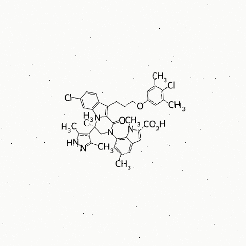 Cc1cc(N2C[C@@](C)(c3c(C)n[nH]c3C)n3c(c(CCCOc4cc(C)c(Cl)c(C)c4)c4ccc(Cl)cc43)C2=O)c2c(c1)cc(C(=O)O)n2C